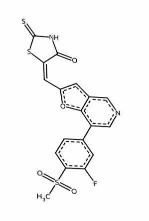 CS(=O)(=O)c1ccc(-c2cncc3cc(/C=C4/SC(=S)NC4=O)oc23)cc1F